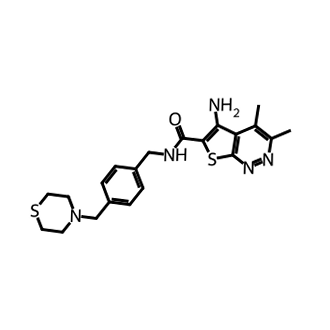 Cc1nnc2sc(C(=O)NCc3ccc(CN4CCSCC4)cc3)c(N)c2c1C